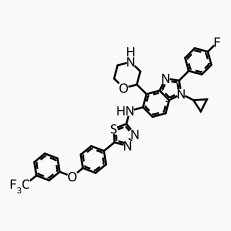 Fc1ccc(-c2nc3c(C4CNCCO4)c(Nc4nnc(-c5ccc(Oc6cccc(C(F)(F)F)c6)cc5)s4)ccc3n2C2CC2)cc1